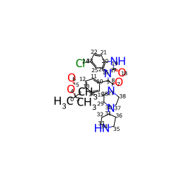 CC(C)(C)OC=O.O=C(C(c1ccccc1)n1c(=O)[nH]c2ccc(Cl)cc21)N1CCN(C2CCNCC2)CC1